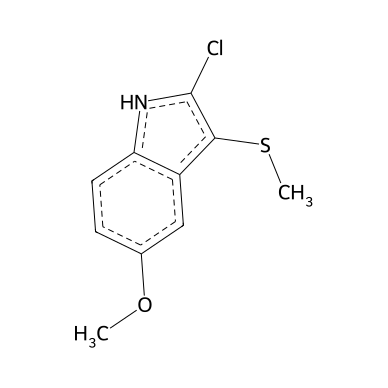 COc1ccc2[nH]c(Cl)c(SC)c2c1